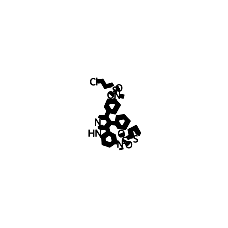 CN(c1ccc(-c2cnc3[nH]c4ccc(N(C)S(=O)(=O)c5cccs5)cc4c3c2-c2ccccc2)cc1)S(=O)(=O)CCCCl